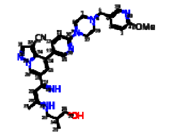 COc1ccc(CN2CCN(c3ccc(-c4cc(C(=N)/C=C(/C)NCC(C)CO)cn5ncc(C#N)c45)cn3)CC2)cn1